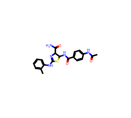 CC(=O)Nc1ccc(C(=O)NC2SC(Nc3ccccc3C)=NC2C(N)=O)cc1